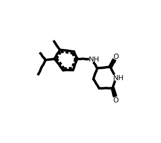 Cc1cc(NC2CCC(=O)NC2=O)ccc1C(C)C